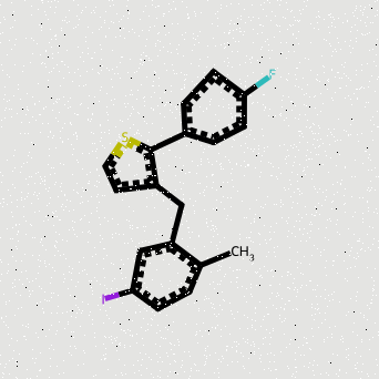 Cc1ccc(I)cc1Cc1ccsc1-c1ccc(F)cc1